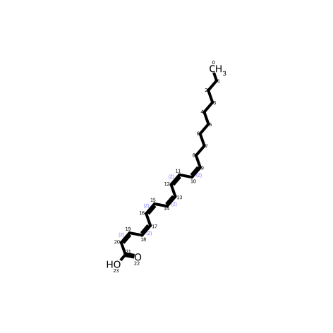 CCCCCCCCC\C=C/C=C\C=C/C=C\C=C/C=C\C(=O)O